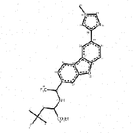 CCOC(=O)C(CC(C)(C)F)NC(c1ccc2c(c1)oc1ccc(-c3cn(C)cn3)cc12)C(F)(F)F